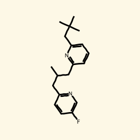 CC(Cc1ccc(F)cn1)Cc1cccc(CC(C)(C)C)n1